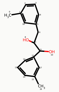 Cc1cccc(CC(O)C(O)c2cccc(C)c2)c1